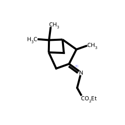 CCOC(=O)C/N=C1\CC2CC(C1C)C2(C)C